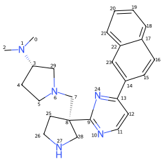 CN(C)[C@H]1CCN(C[C@@]2(c3nccc(-c4ccc5ccccc5c4)n3)CCNC2)C1